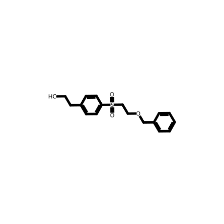 O=S(=O)(CCOCc1ccccc1)c1ccc(CCO)cc1